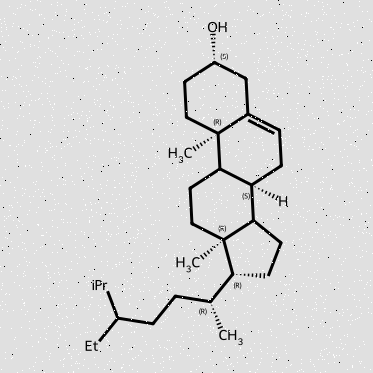 CCC(CC[C@@H](C)[C@H]1CCC2[C@@H]3CC=C4C[C@@H](O)CC[C@]4(C)C3CC[C@@]21C)C(C)C